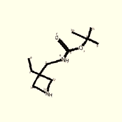 CCC1(CNC(=O)OC(C)(C)C)CNC1